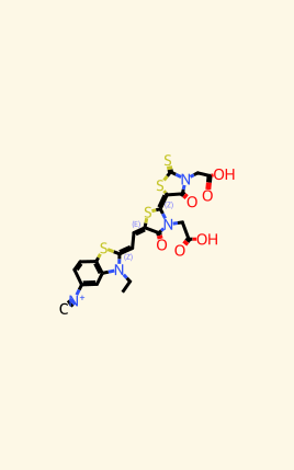 [C-]#[N+]c1ccc2c(c1)N(CC)/C(=C/C=c1/s/c(=C3\SC(=S)N(CC(=O)O)C3=O)n(CC(=O)O)c1=O)S2